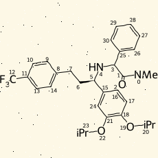 CNC(=O)C(N[C@H](CCc1ccc(C(F)(F)F)cc1)c1ccc(OC(C)C)c(OC(C)C)c1)c1ccccc1